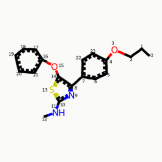 CCCOc1ccc(-c2nc(NC)sc2Oc2ccccc2)cc1